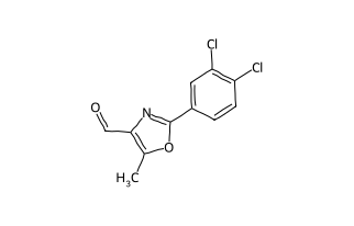 Cc1oc(-c2ccc(Cl)c(Cl)c2)nc1C=O